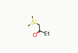 CCC(=O)C[S+](C)C